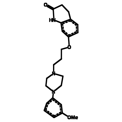 COc1cccc(N2CCN(CCCOc3ccc4c(c3)NC(=O)CC4)CC2)c1